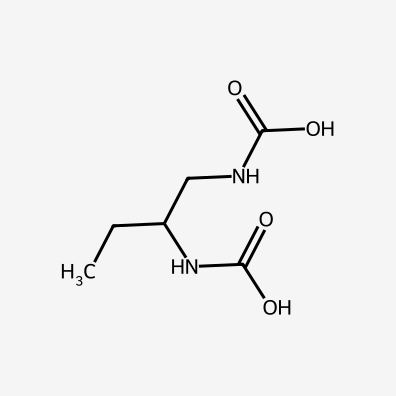 CCC(CNC(=O)O)NC(=O)O